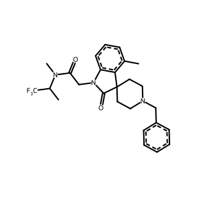 Cc1cccc2c1C1(CCN(Cc3ccccc3)CC1)C(=O)N2CC(=O)N(C)C(C)C(F)(F)F